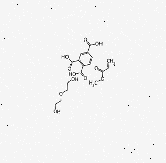 C=CC(=O)OC.O=C(O)c1ccc(C(=O)O)c(C(=O)O)c1.OCCOCCO